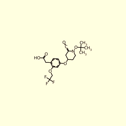 CC(C)(C)ON1CCC(Oc2ccc(CC(=O)O)c(OCC(F)(F)F)c2)CC1=C=O